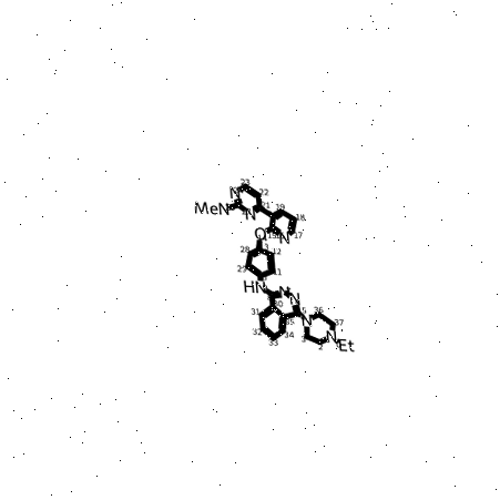 CCN1CCN(c2nnc(Nc3ccc(Oc4ncccc4-c4ccnc(NC)n4)cc3)c3ccccc23)CC1